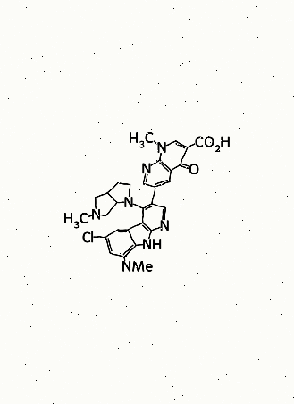 CNc1cc(Cl)cc2c1[nH]c1ncc(-c3cnc4c(c3)c(=O)c(C(=O)O)cn4C)c(N3CCC4CN(C)CC43)c12